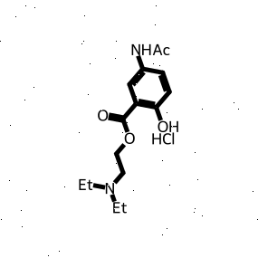 CCN(CC)CCOC(=O)c1cc(NC(C)=O)ccc1O.Cl